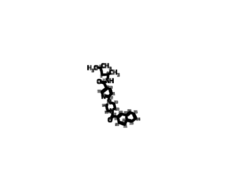 CC(C)CC(C)NC(=O)c1ccc(N2CCN(C(=O)c3ccc4ccccc4c3)CC2)nc1